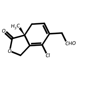 C[C@@]12CC=C(CC=O)C(Cl)=C1COC2=O